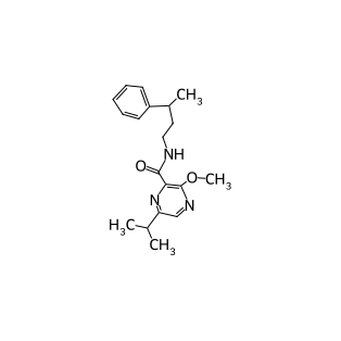 COc1ncc(C(C)C)nc1C(=O)NCCC(C)c1ccccc1